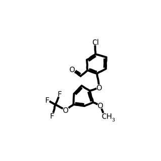 COc1cc(OC(F)(F)F)ccc1Oc1ccc(Cl)cc1C=O